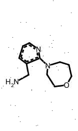 NCc1cccnc1N1CCCOCC1